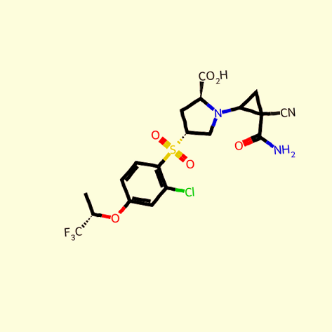 C[C@H](Oc1ccc(S(=O)(=O)[C@@H]2C[C@@H](C(=O)O)N(C3CC3(C#N)C(N)=O)C2)c(Cl)c1)C(F)(F)F